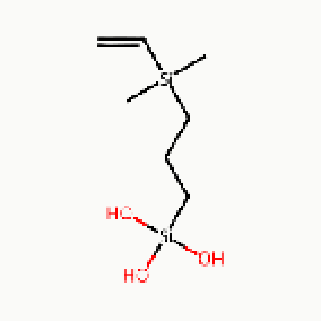 C=C[Si](C)(C)CCC[Si](O)(O)O